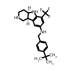 CC(C)(C)c1ccc(CNc2cc3c(c(C(F)(F)F)c2)N[C@@H]2CCNC[C@H]32)cc1